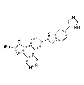 CCC(C)c1nc2c3cnncc3c3cc(-c4cc5ccc(C6CN=CN6)cc5s4)ccc3c2[nH]1